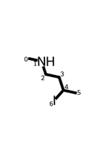 CNCCC(C)I